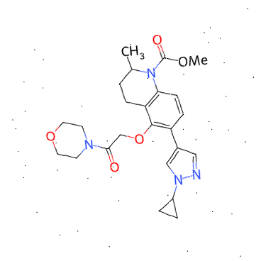 COC(=O)N1c2ccc(-c3cnn(C4CC4)c3)c(OCC(=O)N3CCOCC3)c2CCC1C